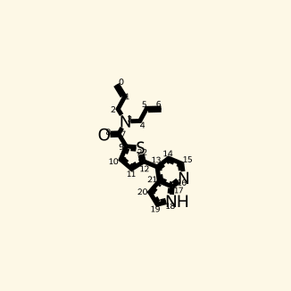 C=CCN(CC=C)C(=O)c1ccc(-c2ccnc3[nH]ccc23)s1